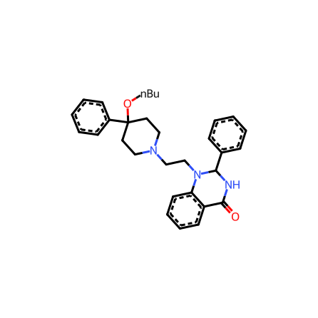 CCCCOC1(c2ccccc2)CCN(CCN2c3ccccc3C(=O)NC2c2ccccc2)CC1